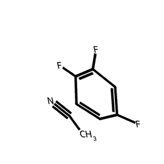 CC#N.Fc1ccc(F)c(F)c1